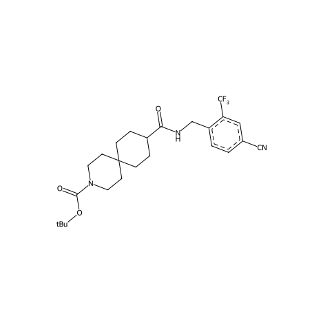 CC(C)(C)OC(=O)N1CCC2(CCC(C(=O)NCc3ccc(C#N)cc3C(F)(F)F)CC2)CC1